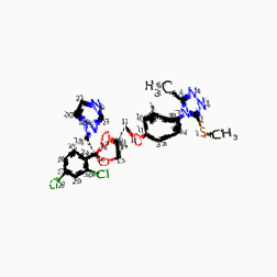 CSc1nnc(C)n1-c1ccc(OC[C@@H]2CO[C@@](Cn3ccnc3)(c3ccc(Cl)cc3Cl)O2)cc1